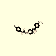 Cc1ccc(C2=NOC3(CCN(OC(=O)Nc4ccc(F)cc4)CC3)C2)cc1